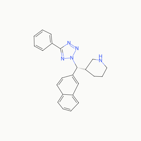 c1ccc(-c2nnn([C@@H](c3ccc4ccccc4c3)C3CCCNC3)n2)cc1